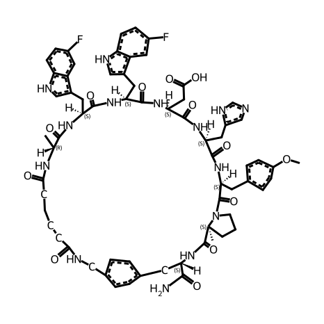 COc1ccc(C[C@@H]2NC(=O)[C@H](Cc3cnc[nH]3)NC(=O)[C@H](CC(=O)O)NC(=O)[C@H](Cc3c[nH]c4ccc(F)cc34)NC(=O)[C@H](Cc3c[nH]c4ccc(F)cc34)NC(=O)[C@@H](C)NC(=O)CCCCC(=O)NCc3ccc(cc3)C[C@@H](C(N)=O)NC(=O)[C@]3(C)CCCN3C2=O)cc1